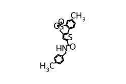 Cc1ccc(CNC(=O)c2cc3c(s2)-c2ccc(C)cc2S(=O)(=O)C3)cc1